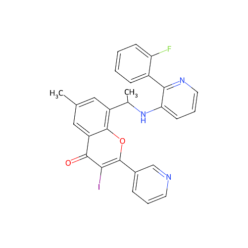 Cc1cc(C(C)Nc2cccnc2-c2ccccc2F)c2oc(-c3cccnc3)c(I)c(=O)c2c1